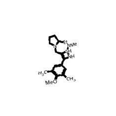 CCC1CCCN1CC1=C(c2cc(C)c(OC)c(C)c2)N[SH]1NC